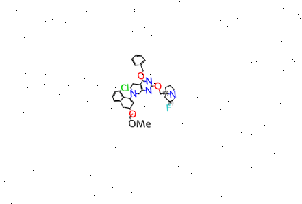 COCOc1cc(N2CCc3c(nc(OC[C@@]45CCCN4C[C@H](F)C5)nc3OCc3ccccc3)C2)c2c(Cl)cccc2c1